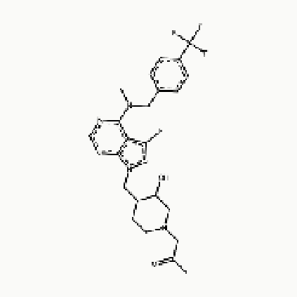 CC(=O)CN1CCC(Cn2cc(F)c3c(N(C)Cc4ccc(C(F)(F)F)cc4)ncnc32)C(O)C1